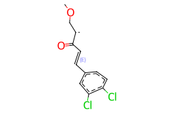 COC[CH]C(=O)/C=C/c1ccc(Cl)c(Cl)c1